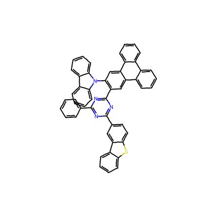 c1ccc(-c2nc(-c3ccc4sc5ccccc5c4c3)nc(-c3cc4c5ccccc5c5ccccc5c4cc3-n3c4ccccc4c4ccccc43)n2)cc1